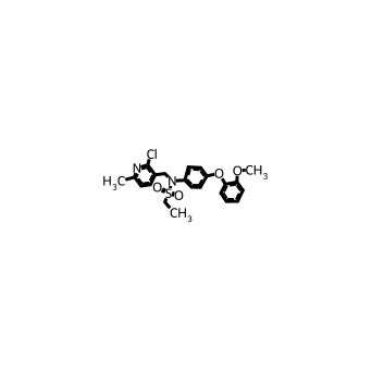 CCS(=O)(=O)N(Cc1ccc(C)nc1Cl)c1ccc(Oc2ccccc2OC)cc1